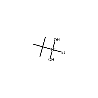 CC[N+](O)(O)C(C)(C)C